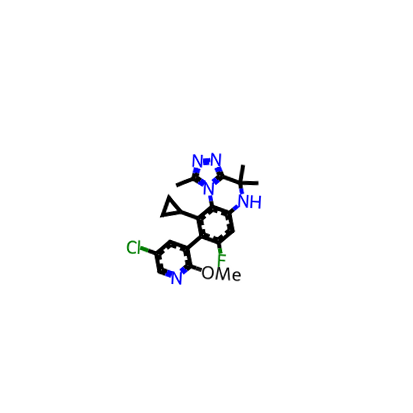 COc1ncc(Cl)cc1-c1c(F)cc2c(c1C1CC1)-n1c(C)nnc1C(C)(C)N2